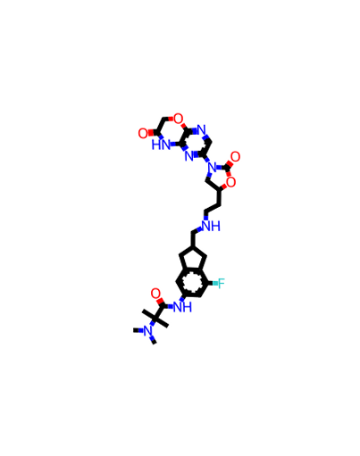 CN(C)C(C)(C)C(=O)Nc1cc(F)c2c(c1)CC(CNCCC1CN(c3cnc4c(n3)NC(=O)CO4)C(=O)O1)C2